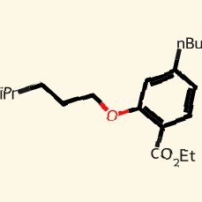 CCCCc1ccc(C(=O)OCC)c(OCCCC(C)C)c1